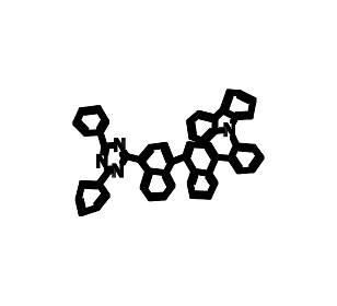 c1ccc(-c2nc(-c3ccccc3)nc(-c3ccc(-c4ccc(-c5ccccc5-n5c6ccccc6c6ccccc65)c5ccccc45)c4ccccc34)n2)cc1